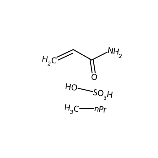 C=CC(N)=O.CCCC.O=S(=O)(O)O